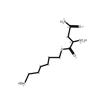 CCCCCCCCCCCCCCCCOC(=O)C(CC(N)=O)S(=O)(=O)O